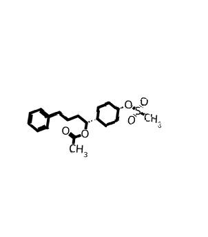 CC(=O)OC(CCCc1ccccc1)[C@H]1CC[C@@H](OS(C)(=O)=O)CC1